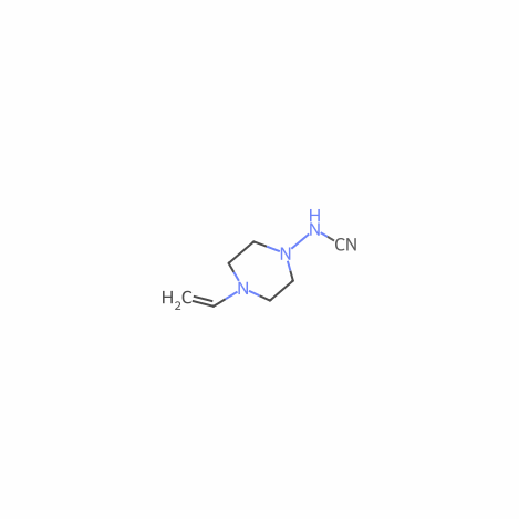 C=CN1CCN(NC#N)CC1